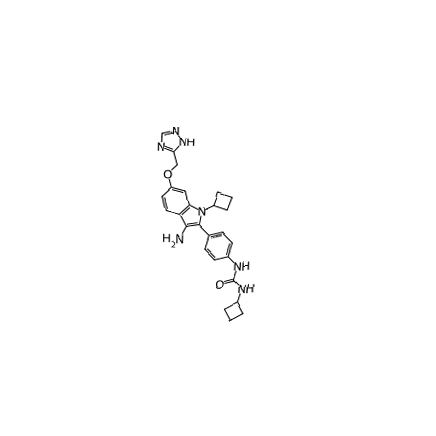 Nc1c(-c2ccc(NC(=O)NC3CCC3)cc2)n(C2CCC2)c2cc(OCc3ncn[nH]3)ccc12